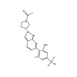 CC(=O)N1CC[C@@H](n2cc3ccc(-c4c(C)cc(C(F)(F)F)cc4O)nc3n2)C1